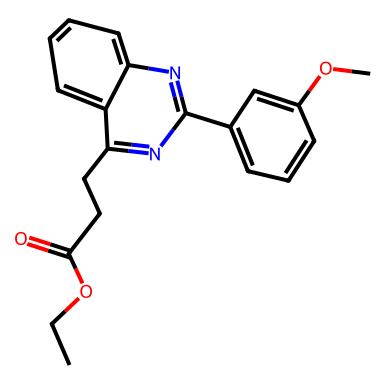 CCOC(=O)CCc1nc(-c2cccc(OC)c2)nc2ccccc12